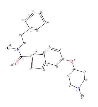 CC(C)N1CCC(Oc2ccc3cc(C(=O)N(C)CCc4ccccc4)ccc3c2)CC1